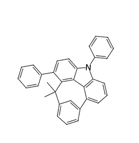 CC1(C)c2cccc(c2)-c2cccc3c2c2c1c(-c1ccccc1)ccc2n3-c1ccccc1